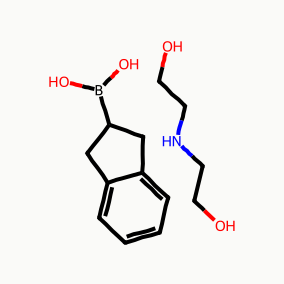 OB(O)C1Cc2ccccc2C1.OCCNCCO